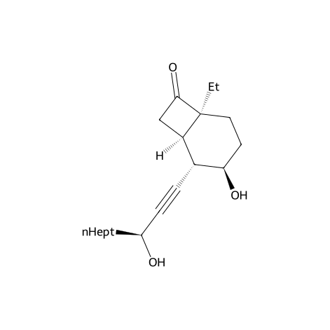 CCCCCCC[C@H](O)C#C[C@H]1[C@H](O)CC[C@]2(CC)C(=O)C[C@H]12